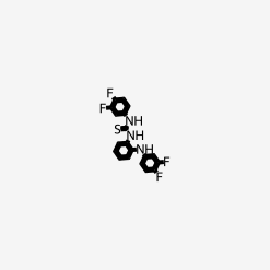 Fc1ccc(NC(=S)Nc2ccccc2Nc2ccc(F)c(F)c2)cc1F